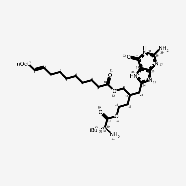 CCCCCCCCC=CCCCCCCCC(=O)OCC(CCOC(=O)[C@@H](N)[C@@H](C)CC)Cc1nc2nc(N)[nH]c(=O)c2[nH]1